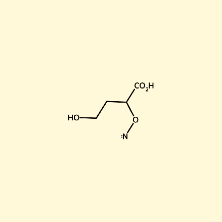 [N]OC(CCO)C(=O)O